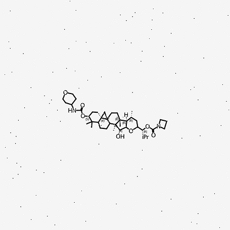 CC(C)[C@@H](OC(=O)N1CCC1)C1C[C@@H](C)[C@H]2C(O1)[C@H](O)[C@@]1(C)C3CCC4C(C)(C)[C@@H](OC(=O)NC5CCOCC5)CC[C@@]45C[C@@]35CC[C@]21C